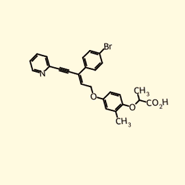 Cc1cc(OCC=C(C#Cc2ccccn2)c2ccc(Br)cc2)ccc1OC(C)C(=O)O